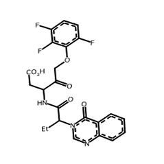 CCC(C(=O)NC(CC(=O)O)C(=O)COc1c(F)ccc(F)c1F)n1cnc2ccccc2c1=O